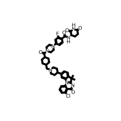 CC1(C)c2ccc(C3CCN(CC4CCC(C(=O)N5CCN(c6ccc(C(=O)N[C@H]7CCC(=O)NC7=O)c(F)c6)CC5)CC4)CC3)cc2-n2c1nc(=O)c1c(Cl)cccc12